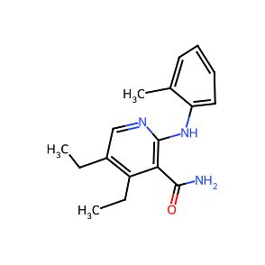 CCc1cnc(Nc2ccccc2C)c(C(N)=O)c1CC